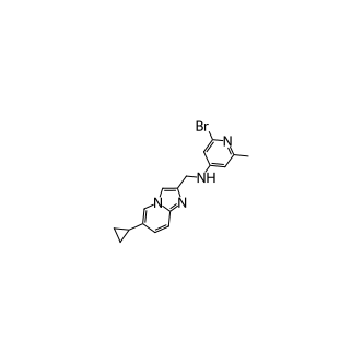 Cc1cc(NCc2cn3cc(C4CC4)ccc3n2)cc(Br)n1